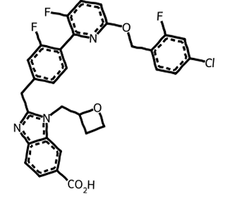 O=C(O)c1ccc2nc(Cc3ccc(-c4nc(OCc5ccc(Cl)cc5F)ccc4F)c(F)c3)n(CC3CCO3)c2c1